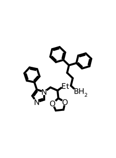 BCCCC(c1ccccc1)c1ccccc1.CCC(Cn1cncc1-c1ccccc1)C1OCCO1